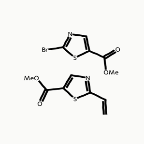 C=Cc1ncc(C(=O)OC)s1.COC(=O)c1cnc(Br)s1